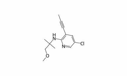 CC#Cc1cc(Cl)cnc1NC(C)(C)COC